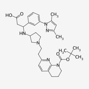 Cc1cc(C)n(-c2cccc(C(CC(=O)O)NC3CCN(CCc4ccc5c(n4)N(C(=O)OC(C)(C)C)CCC5)C3)c2)n1